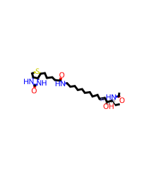 CC[C@H](NC(C)=O)[C@H](O)/C=C/CCCCCCCCCNC(=O)CCCCC1SCC2NC(=O)NC21